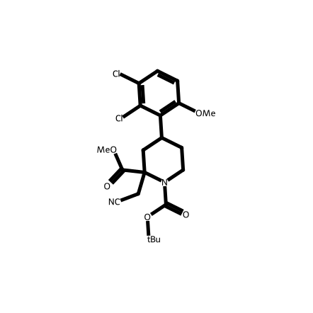 COC(=O)C1(CC#N)CC(c2c(OC)ccc(Cl)c2Cl)CCN1C(=O)OC(C)(C)C